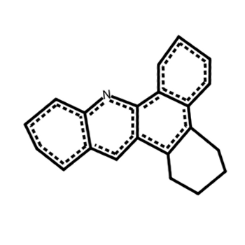 c1ccc2nc3c(cc2c1)c1c(c2ccccc23)CCCC1